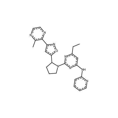 CCc1cc(Nc2ccccn2)nc(N2CCCC2c2cc(-c3nccnc3C)no2)n1